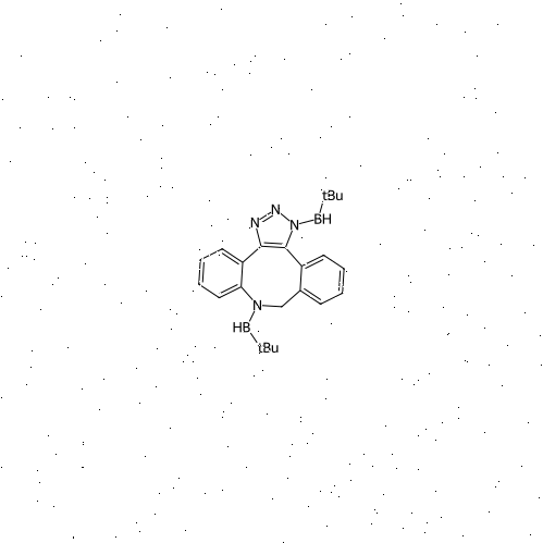 CC(C)(C)BN1Cc2ccccc2-c2c(nnn2BC(C)(C)C)-c2ccccc21